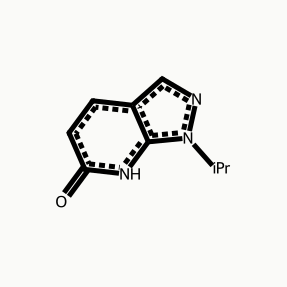 CC(C)n1ncc2ccc(=O)[nH]c21